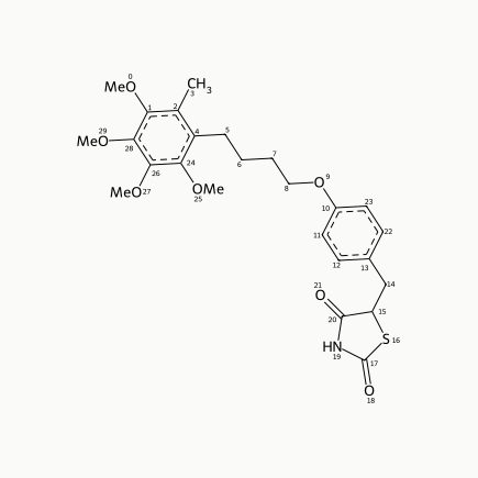 COc1c(C)c(CCCCOc2ccc(CC3SC(=O)NC3=O)cc2)c(OC)c(OC)c1OC